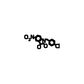 O=C1C(=O)N(Cc2ccc(Cl)cc2)c2ccc([N+](=O)[O-])cc21